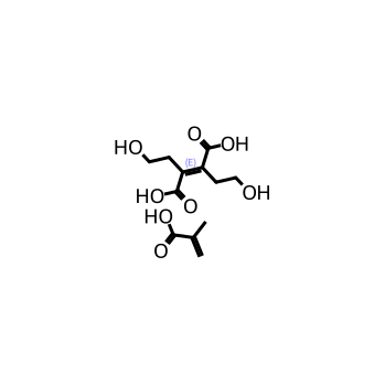 C=C(C)C(=O)O.O=C(O)/C(CCO)=C(\CCO)C(=O)O